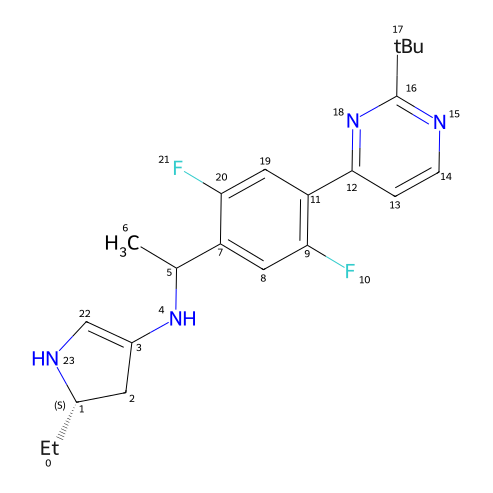 CC[C@H]1CC(NC(C)c2cc(F)c(-c3ccnc(C(C)(C)C)n3)cc2F)=CN1